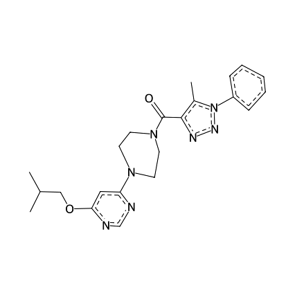 Cc1c(C(=O)N2CCN(c3cc(OCC(C)C)ncn3)CC2)nnn1-c1ccccc1